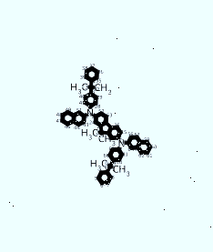 CC(C)(c1ccccc1)c1ccc(N(c2ccc3c(c2)C(C)(C)c2cc(N(c4ccc(C(C)(C)c5ccccc5)cc4)c4ccc5ccccc5c4)ccc2-3)c2ccc3ccccc3c2)cc1